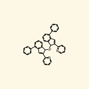 C1=C(c2ccccn2)[CH]([Zr][CH]2C(c3ccccn3)=Cc3c(-c4ccccc4)cccc32)c2cccc(-c3ccccc3)c21